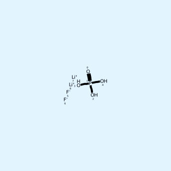 O=P(O)(O)O.[F-].[F-].[Li+].[Li+]